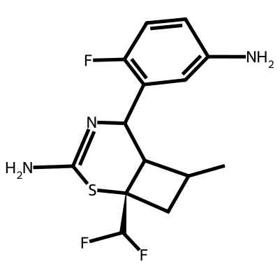 CC1C[C@]2(C(F)F)SC(N)=NC(c3cc(N)ccc3F)C12